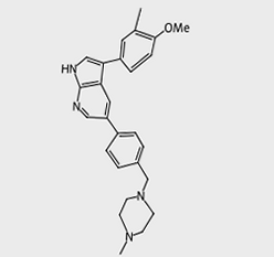 COc1ccc(-c2c[nH]c3ncc(-c4ccc(CN5CCN(C)CC5)cc4)cc23)cc1C